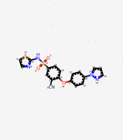 N#Cc1cc(S(=O)(=O)Nc2nccs2)ccc1Oc1ccc(-n2cccn2)cc1